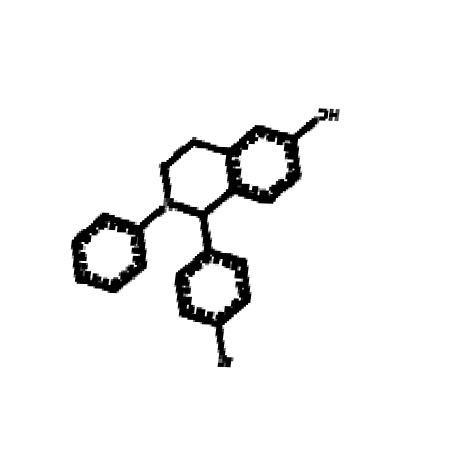 Oc1ccc2c(c1)CCN(c1ccccc1)C2c1ccc(Br)cc1